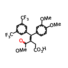 COC(=O)C(CC(=O)O)=C(c1cc(C(F)(F)F)cc(C(F)(F)F)c1)c1ccc(OC)c(OC)c1